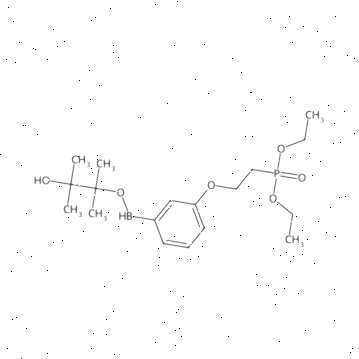 CCOP(=O)(CCOc1cccc(BOC(C)(C)C(C)(C)O)c1)OCC